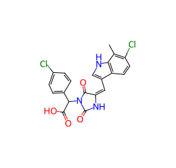 Cc1c(Cl)ccc2c(C=C3NC(=O)N(C(C(=O)O)c4ccc(Cl)cc4)C3=O)c[nH]c12